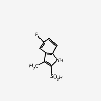 Cc1c(S(=O)(=O)O)[nH]c2ccc(F)cc12